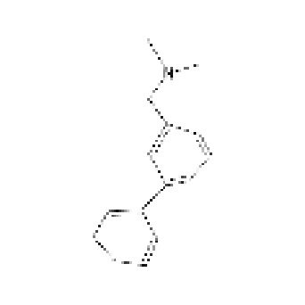 CN(C)Cc1cccc(C2=CCCC=C2)c1